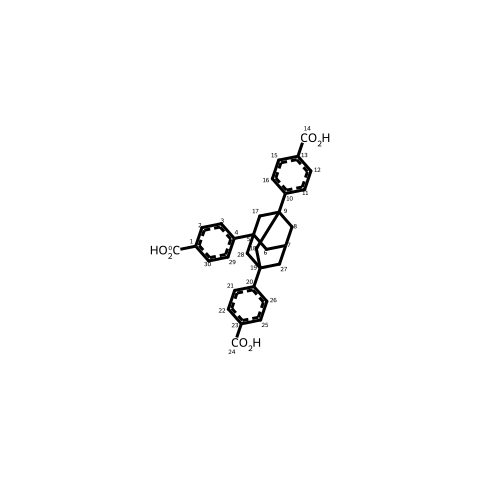 O=C(O)c1ccc(C23CC4CC(c5ccc(C(=O)O)cc5)(C2)CC(c2ccc(C(=O)O)cc2)(C4)C3)cc1